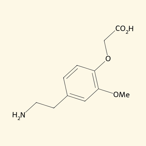 COc1cc(CCN)ccc1OCC(=O)O